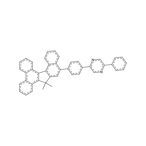 CC1(C)c2cc(-c3ccc(-c4cnc(-c5ccccc5)cn4)cc3)c3ccccc3c2-c2c1c1ccccc1c1ccccc21